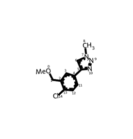 COCc1cc(-c2cn(C)nn2)ccc1Cl